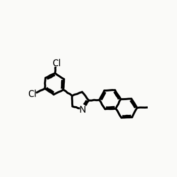 Cc1ccc2cc(C3=NCC(c4cc(Cl)cc(Cl)c4)C3)ccc2c1